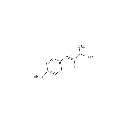 CCCCCCCCCc1ccc(/C=C(\CC)C(OC(C)=O)OC(C)=O)cc1